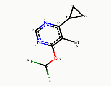 CCc1c(OC(F)F)ncnc1C1CC1